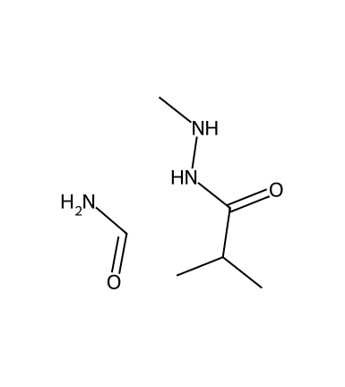 CNNC(=O)C(C)C.NC=O